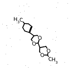 CC1CC=C(C2COC(C3COC(C)OC3)OC2)CC1